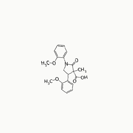 COc1ccccc1C1CN(c2ccccc2OC)C(=O)C1(C)C(=O)O